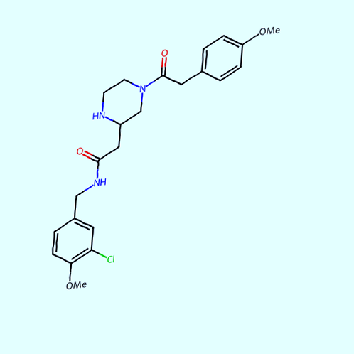 COc1ccc(CC(=O)N2CCNC(CC(=O)NCc3ccc(OC)c(Cl)c3)C2)cc1